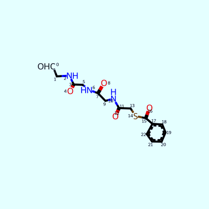 O=CCNC(=O)CNC(=O)CNC(=O)CSC(=O)c1ccccc1